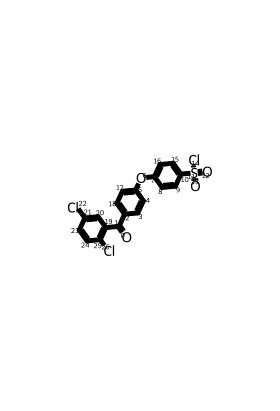 O=C(c1ccc(Oc2ccc(S(=O)(=O)Cl)cc2)cc1)c1cc(Cl)ccc1Cl